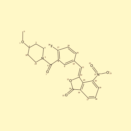 COC1CCN(C(=O)c2cc(C=C3OC(=O)c4cccc([N+](=O)[O-])c43)ccc2F)CC1